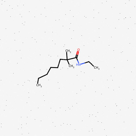 CCCCCCC(C)(C)C(=O)NCC